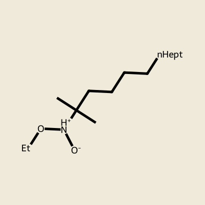 CCCCCCCCCCCC(C)(C)[NH+]([O-])OCC